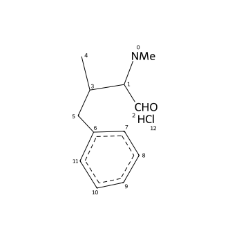 CNC(C=O)C(C)Cc1ccccc1.Cl